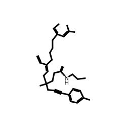 C=C/C(=C\CC(C)(CC#Cc1ccc(C)cc1)CCC(=C)NCCC)CCCC/C(C=C(C)C)=C/C